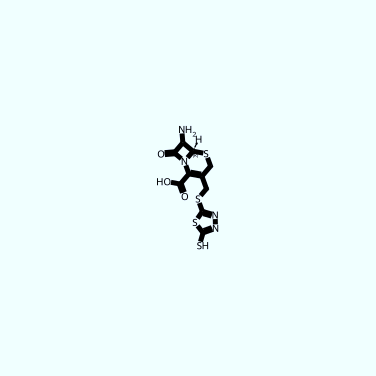 NC1C(=O)N2C(C(=O)O)=C(CSc3nnc(S)s3)CS[C@H]12